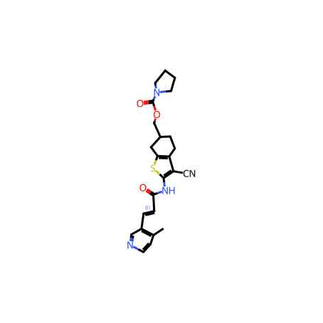 Cc1ccncc1/C=C/C(=O)Nc1sc2c(c1C#N)CCC(COC(=O)N1CCCC1)C2